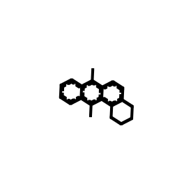 Cc1c2ccccc2c(C)c2c3c(ccc12)CCCC3